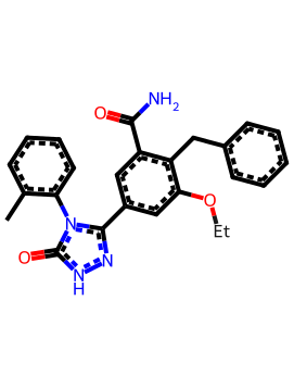 CCOc1cc(-c2n[nH]c(=O)n2-c2ccccc2C)cc(C(N)=O)c1Cc1ccccc1